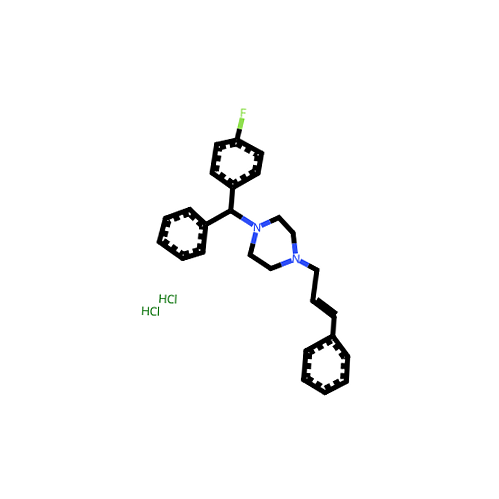 Cl.Cl.Fc1ccc(C(c2ccccc2)N2CCN(C/C=C/c3ccccc3)CC2)cc1